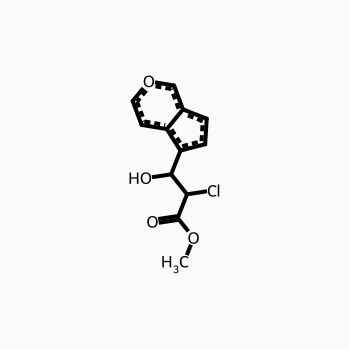 COC(=O)C(Cl)C(O)c1ccc2coccc1-2